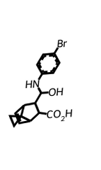 O=C(O)C1C(C(O)Nc2ccc(Br)cc2)C2C=CC1C21CC1